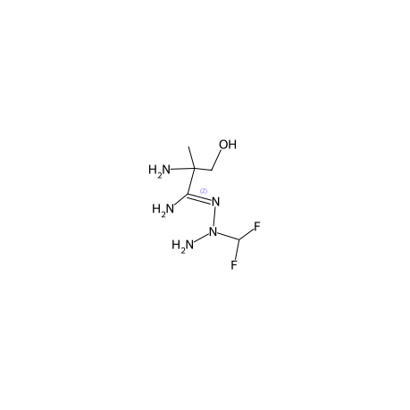 CC(N)(CO)/C(N)=N/N(N)C(F)F